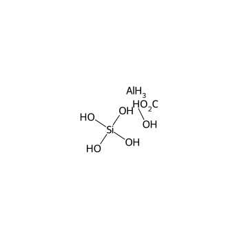 O=C(O)O.O[Si](O)(O)O.[AlH3]